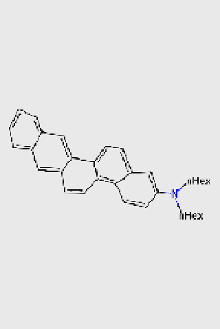 CCCCCCN(CCCCCC)c1ccc2c(ccc3c4cc5ccccc5cc4ccc23)c1